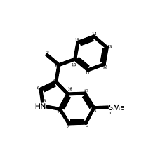 CSc1ccc2[nH]cc(C(C)c3ccccc3)c2c1